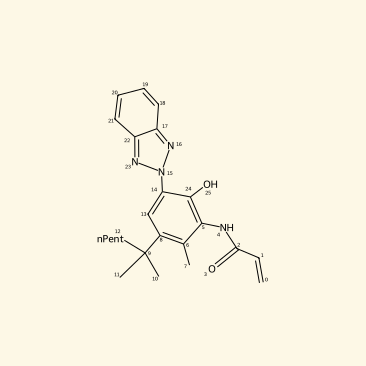 C=CC(=O)Nc1c(C)c(C(C)(C)CCCCC)cc(-n2nc3ccccc3n2)c1O